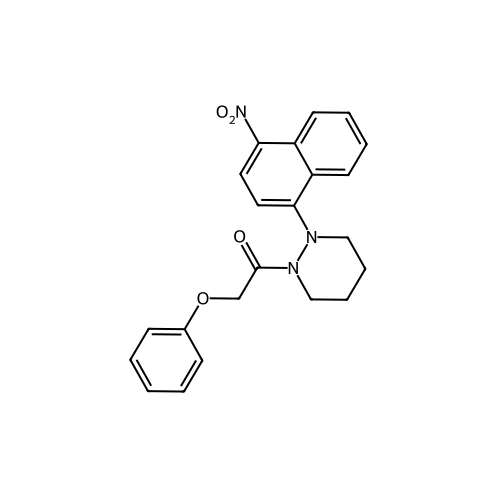 O=C(COc1ccccc1)N1CCCCN1c1ccc([N+](=O)[O-])c2ccccc12